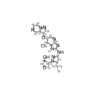 Cn1c(Nc2cc(C(C)(C)C)n([C@H]3COC[C@@H]3O)n2)nc2ncc(Oc3cnn4ccncc34)c(Cl)c21